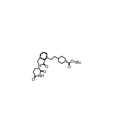 CC(C)(C)OC(=O)N1CCC(CCc2cccc3c2C(=O)N(C2CCC(=O)NC2=O)C3)CC1